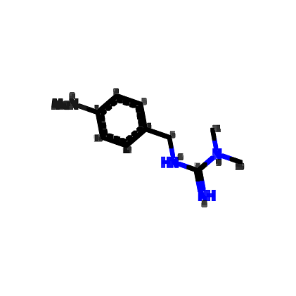 CNc1ccc(CNC(=N)N(C)C)cc1